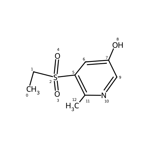 CCS(=O)(=O)c1cc(O)cnc1C